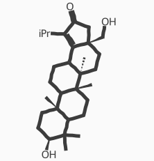 CC(C)C1=C2C3CCC4[C@@]5(C)CC[C@H](O)C(C)(C)C5CC[C@@]4(C)[C@]3(C)CC[C@@]2(CO)CC1=O